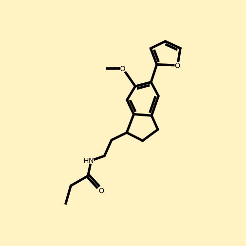 CCC(=O)NCCC1CCc2cc(-c3ccco3)c(OC)cc21